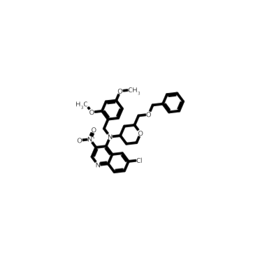 COc1ccc(CN(c2c([N+](=O)[O-])cnc3ccc(Cl)cc23)C2CCOC(COCc3ccccc3)C2)c(OC)c1